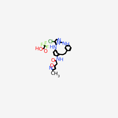 Cc1cc(CC(=O)Nc2ccc3cc2CCc2cccc(c2)Nc2ncc(Cl)c(n2)N3)on1.O=C(O)C(F)(F)F